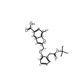 CC(C)(C)OC(=O)Cc1ccccc1OCc1cc2cc(C(=O)O)cc(I)c2o1